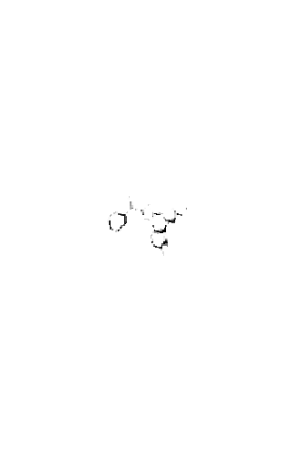 COC(=O)/C=C(\N=c1\sc(C(=O)c2ccccc2)nn1-c1ccc(Cl)cc1)C(=O)OC